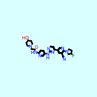 N#Cc1cc(-c2ccnc(Nc3ccc(NC(=O)CN4CCC(O)CC4)nc3)n2)cnc1N1CCC(F)C1